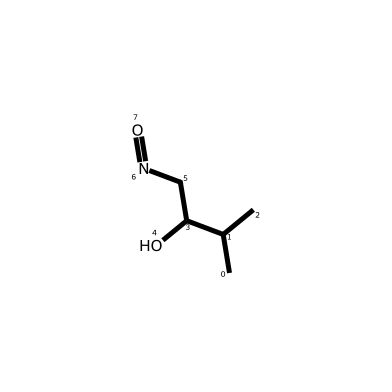 CC(C)C(O)CN=O